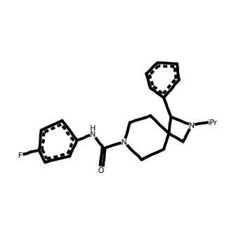 CC(C)N1CC2(CCN(C(=O)Nc3ccc(F)cc3)CC2)C1c1ccccc1